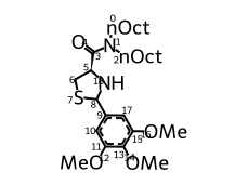 CCCCCCCCN(CCCCCCCC)C(=O)[C@@H]1CSC(c2cc(OC)c(OC)c(OC)c2)N1